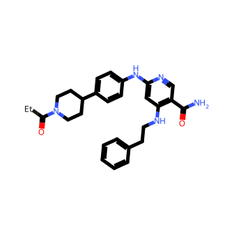 CCC(=O)N1CCC(c2ccc(Nc3cc(NCCc4ccccc4)c(C(N)=O)cn3)cc2)CC1